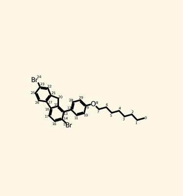 CCCCCCCCOc1ccc(-c2c(Br)ccc3c2Cc2cc(Br)ccc2-3)cc1